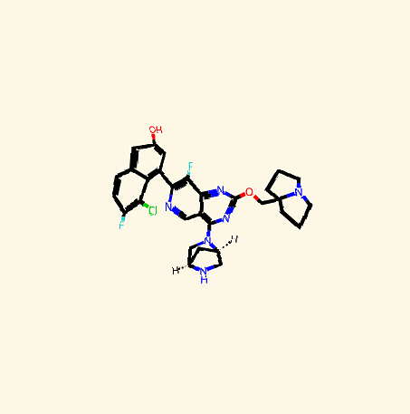 Oc1cc(-c2ncc3c(N4C[C@H]5C[C@@H]4CN5)nc(OCC45CCCN4CCC5)nc3c2F)c2c(Cl)c(F)ccc2c1